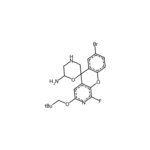 CC(C)(C)COc1cc2c(c(F)n1)Oc1ccc(Br)cc1C21CNCC(N)O1